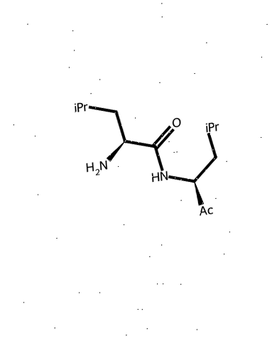 CC(=O)[C@H](CC(C)C)NC(=O)[C@@H](N)CC(C)C